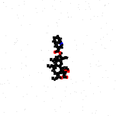 C=C1C2CC3C(C(C)C)C(OC(=O)c4cnc5ccccc5c4)CC3(C)CC2/C(C)=C\CC2C(C)OC(=O)C(O)C12O